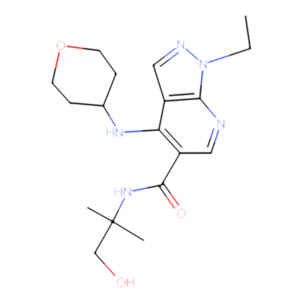 CCn1ncc2c(NC3CCOCC3)c(C(=O)NC(C)(C)CO)cnc21